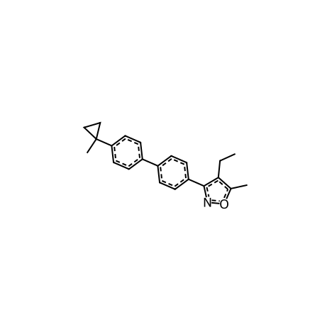 CCc1c(-c2ccc(-c3ccc(C4(C)CC4)cc3)cc2)noc1C